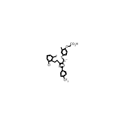 Cc1cc(S[C@H](C)c2sc(-c3ccc(C(F)(F)F)cc3)nc2CCc2c(F)cccc2Cl)ccc1OCC(=O)O